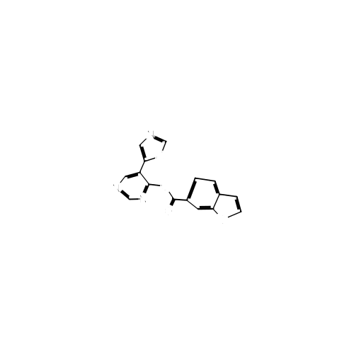 O=C(Oc1ncncc1-c1cnco1)c1ccc2ccoc2c1